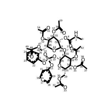 CNC(=O)O[C@@H]1[C@@H](O[C@@H]2[C@@H](OP(=O)(Oc3ccccc3)Oc3ccccc3)O[C@@H](COC(C)=O)[C@@H](OC(C)=O)[C@@H]2OC(C)=O)O[C@H](COC(C)=O)[C@@H](OC(C)=O)[C@@H]1OC(C)=O